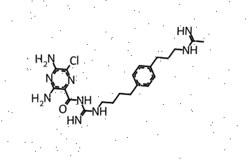 CC(=N)NCCCc1ccc(CCCCNC(=N)NC(=O)c2nc(Cl)c(N)nc2N)cc1